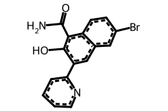 NC(=O)c1c(O)c(-c2ccccn2)cc2cc(Br)ccc12